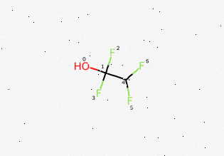 OC(F)(F)[C](F)F